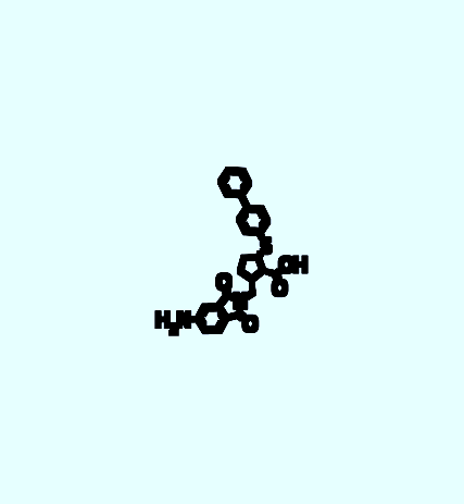 Nc1ccc2c(c1)C(=O)N(C[C@H]1CC[C@@H](Sc3ccc(-c4ccccc4)cc3)[C@H]1C(=O)O)C2=O